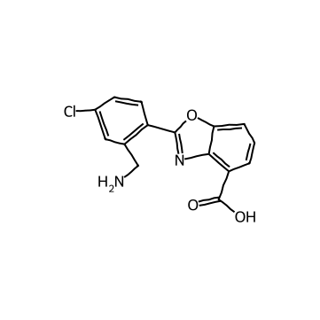 NCc1cc(Cl)ccc1-c1nc2c(C(=O)O)cccc2o1